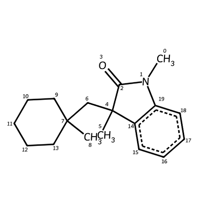 CN1C(=O)C(C)(CC2(C)CCCCC2)c2ccccc21